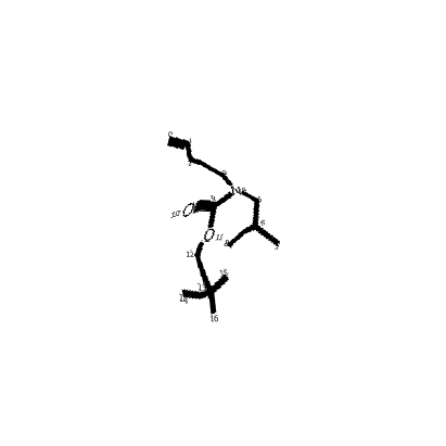 C=CCCN(CC(C)C)C(=O)OCC(C)(C)C